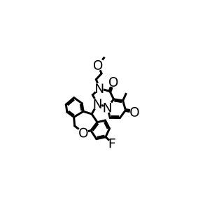 COCCN1CN(C2c3ccccc3COc3cc(F)ccc32)n2ccc(=O)c(C)c2C1=O